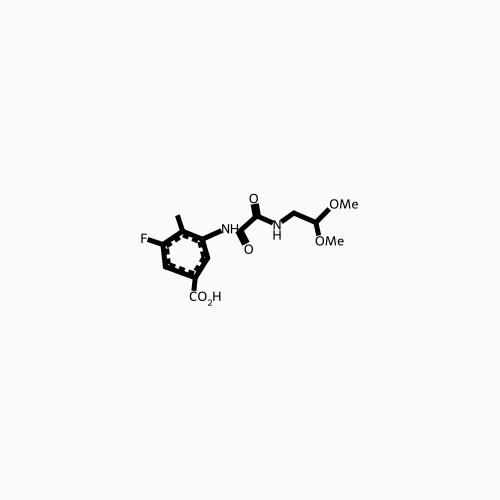 COC(CNC(=O)C(=O)Nc1cc(C(=O)O)cc(F)c1C)OC